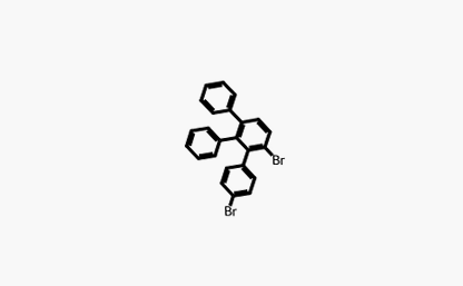 Brc1ccc(-c2c(Br)ccc(-c3ccccc3)c2-c2ccccc2)cc1